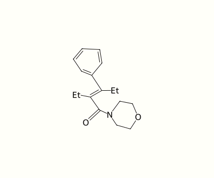 CCC(C(=O)N1CCOCC1)=C(CC)c1ccccc1